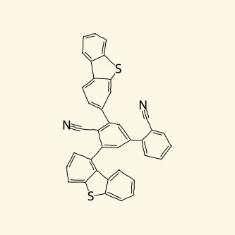 N#Cc1ccccc1-c1cc(-c2ccc3c(c2)sc2ccccc23)c(C#N)c(-c2cccc3sc4ccccc4c23)c1